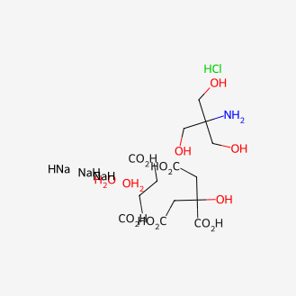 Cl.NC(CO)(CO)CO.O.O.O=C(O)CC(O)(CC(=O)O)C(=O)O.O=C(O)CCC(=O)O.[NaH].[NaH].[NaH]